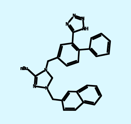 CCCCC1=NN(Cc2ccc3ccccc3c2)CN1Cc1ccc(-c2ccccc2)c(-c2nnn[nH]2)c1